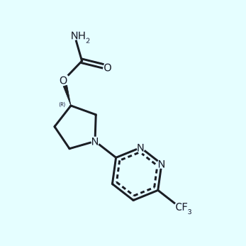 NC(=O)O[C@@H]1CCN(c2ccc(C(F)(F)F)nn2)C1